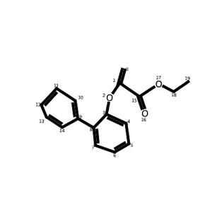 C=C(Oc1ccccc1-c1ccccc1)C(=O)OCC